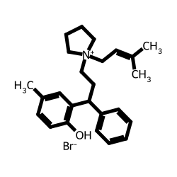 CC(C)=CC[N+]1(CCC(c2ccccc2)c2cc(C)ccc2O)CCCC1.[Br-]